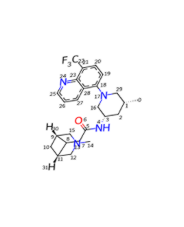 C[C@@H]1C[C@H](NC(=O)CC2[C@@H]3C[C@H]2CN(C)C3)CN(c2ccc(C(F)(F)F)c3ncccc23)C1